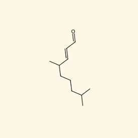 CC(C)CCCC(C)C=CC=O